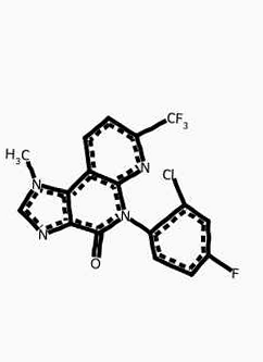 Cn1cnc2c(=O)n(-c3ccc(F)cc3Cl)c3nc(C(F)(F)F)ccc3c21